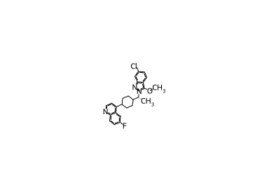 COc1c2ccc(Cl)cc2nn1[C@H](C)C1CCC(c2ccnc3ccc(F)cc23)CC1